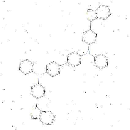 c1ccc(N(c2ccc(-c3ccc(N(c4ccccc4)c4ccc(-c5scc6ccccc56)cc4)cc3)cc2)c2ccc(-c3scc4ccccc34)cc2)cc1